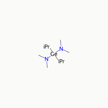 C[CH](C)[Ge]([CH](C)C)([N](C)C)[N](C)C